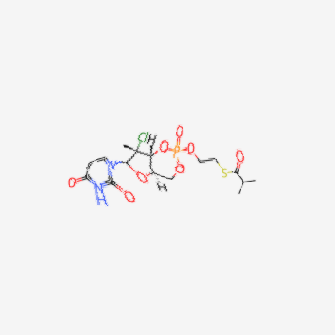 CC(C)C(=O)SCCO[P@@]1(=O)OC[C@H]2O[C@@H](n3ccc(=O)[nH]c3=O)[C@](C)(Cl)[C@@H]2O1